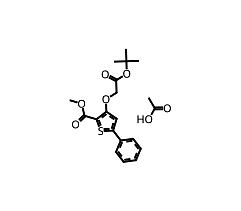 CC(=O)O.COC(=O)c1sc(-c2ccccc2)cc1OCC(=O)OC(C)(C)C